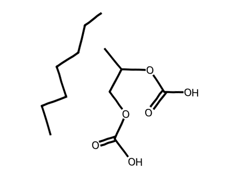 CC(COC(=O)O)OC(=O)O.CCCCCCC